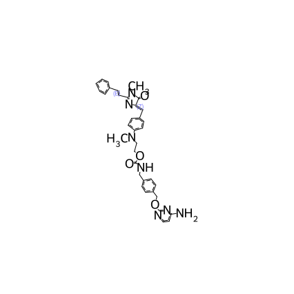 CN1C(=O)/C(=C/c2ccc(N(C)CCOC(=O)NCc3ccc(COc4nccc(N)n4)cc3)cc2)N=C1/C=C/c1ccccc1